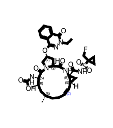 CCn1nc(O[C@@H]2C[C@H]3C(=O)N[C@]4(C(=O)NS(=O)(=O)C5(CF)CC5)C[C@H]4/C=C\CC[C@H](C)C[C@@H](C)[C@H](NC(=O)O)C(=O)N3C2)c2ccccc2c1=O